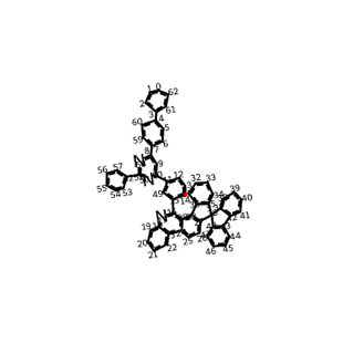 c1ccc(-c2ccc(-c3cc(-c4cccc(-c5nc6ccccc6c6ccc7c(c56)-c5ccccc5C75c6ccccc6-c6ccccc65)c4)nc(-c4ccccc4)n3)cc2)cc1